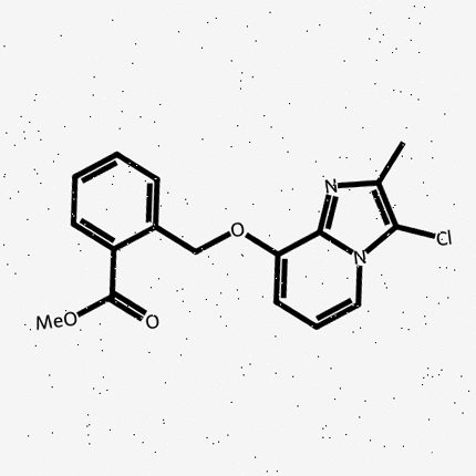 COC(=O)c1ccccc1COc1cccn2c(Cl)c(C)nc12